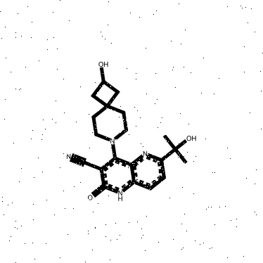 CC(C)(O)c1ccc2[nH]c(=O)c(C#N)c(N3CCC4(CC3)CC(O)C4)c2n1